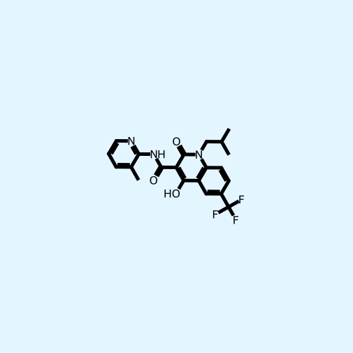 Cc1cccnc1NC(=O)c1c(O)c2cc(C(F)(F)F)ccc2n(CC(C)C)c1=O